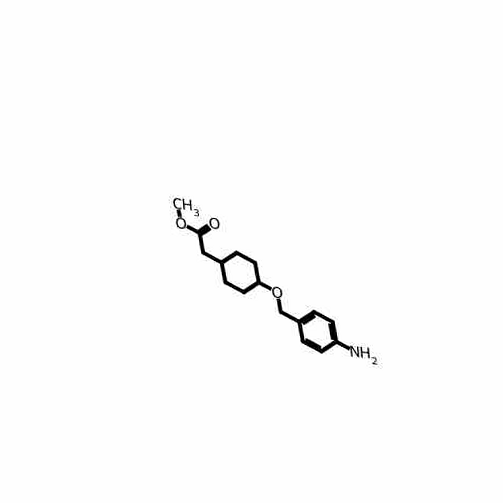 COC(=O)CC1CCC(OCc2ccc(N)cc2)CC1